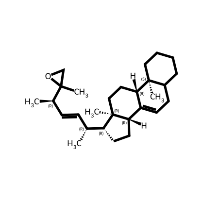 C[C@H](C=C[C@@H](C)C1(C)CO1)[C@H]1CC[C@H]2C3=CCC4CCCC[C@]4(C)[C@H]3CC[C@]12C